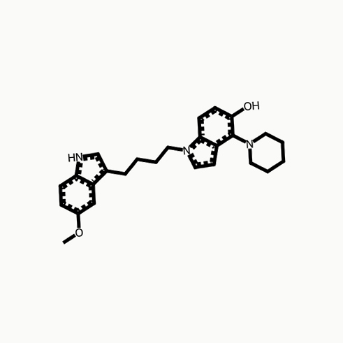 COc1ccc2[nH]cc(CCCCn3ccc4c(N5CCCCC5)c(O)ccc43)c2c1